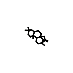 C=C1CC23CCC4CC(C)(C)CCC4(C)C2CCC1(C)C3